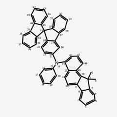 CC1(C)c2ccccc2-c2ccc3c(N(c4ccccc4)c4ccc5c(c4)-c4ccccc4C54c5ccccc5-c5ccccc54)cccc3c21